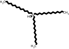 CCCCCCCCCCCCCC[Si](O)(CCCCCCCCCCCCCC)CCCCCCCCCCCCCC